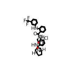 O=C(CNC(=O)c1ccccc1Nc1cccc(C(F)(F)F)c1)N[C@H]1C[C@H]2CC[C@@H](C1)N2Cc1ccc(Cl)c(Cl)c1